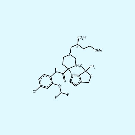 COCC[C@@H](CN1CCC(C(=O)Nc2ccc(Cl)cc2OC(F)F)(n2ncc3c2C(C)(C)OC3)CC1)C(=O)O